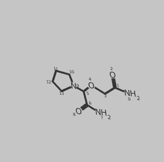 NC(=O)COC(C(N)=O)N1CCCC1